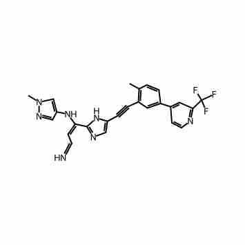 Cc1ccc(-c2ccnc(C(F)(F)F)c2)cc1C#Cc1cnc(/C(=C\C=N)Nc2cnn(C)c2)[nH]1